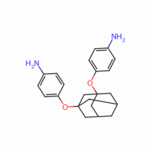 Nc1ccc(OC23CC4CC(C2)CC(Oc2ccc(N)cc2)(C4)C3)cc1